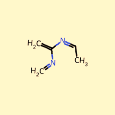 C=NC(=C)/N=C\C